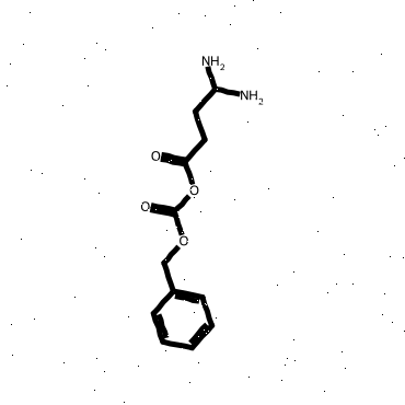 NC(N)CCC(=O)OC(=O)OCc1ccccc1